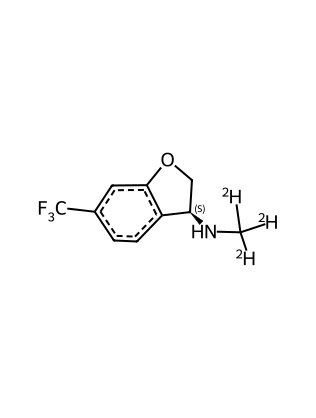 [2H]C([2H])([2H])N[C@@H]1COc2cc(C(F)(F)F)ccc21